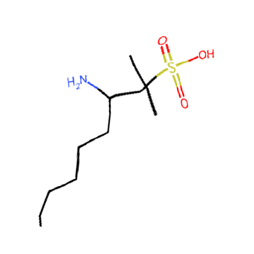 CCCCCC(N)C(C)(C)S(=O)(=O)O